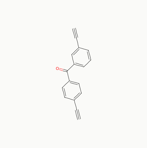 C#Cc1ccc(C(=O)c2cccc(C#C)c2)cc1